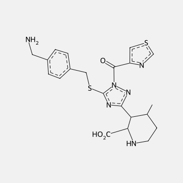 CC1CCNC(C(=O)O)C1c1nc(SCc2ccc(CN)cc2)n(C(=O)c2cscn2)n1